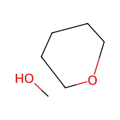 C1CCOCC1.CO